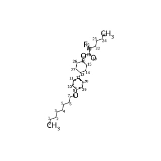 CCCCCCCCOc1ccc([C@H]2CC[C@H](OC(=O)[C@@H](F)CCCC)CC2)cc1